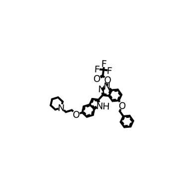 O=C(On1nc(-c2cc3cc(OCCN4CCCCC4)ccc3[nH]2)c2cc(OCc3ccccc3)ccc21)C(F)(F)F